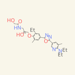 CCc1cc(-c2nnc(-c3cnc(N(CC)CC)c(C)c3)o2)cc(C)c1OC[C@@H](O)CNC(=O)CO